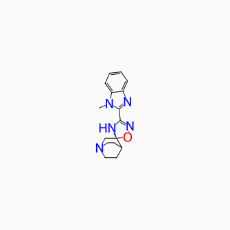 Cn1c(C2=NO[C@]3(CN4CCC3CC4)N2)nc2ccccc21